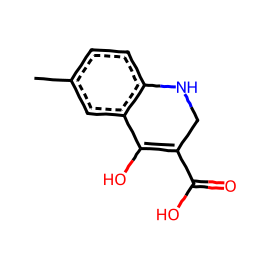 Cc1ccc2c(c1)C(O)=C(C(=O)O)CN2